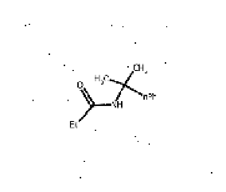 CCCC(C)(C)NC(=O)CC